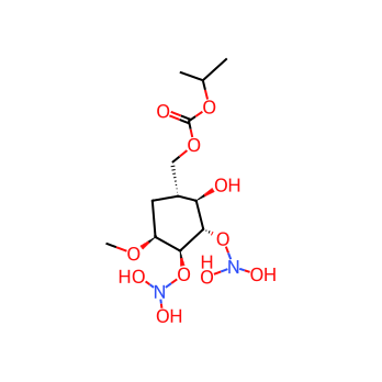 CO[C@H]1C[C@H](COC(=O)OC(C)C)[C@@H](O)[C@H](ON(O)O)[C@H]1ON(O)O